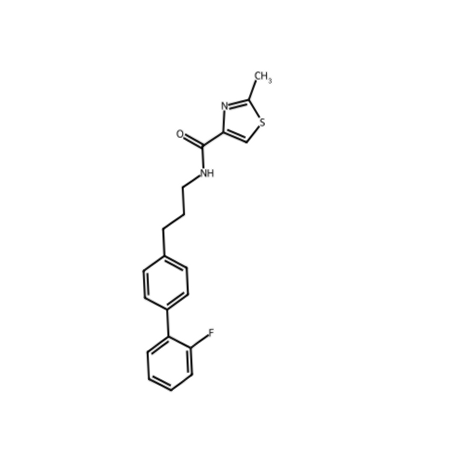 Cc1nc(C(=O)NCCCc2ccc(-c3ccccc3F)cc2)cs1